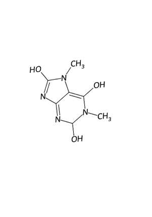 CN1C(O)=c2c(nc(O)n2C)=NC1O